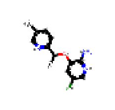 Cc1ccc(C(C)Oc2cc(Br)cnc2N)nc1